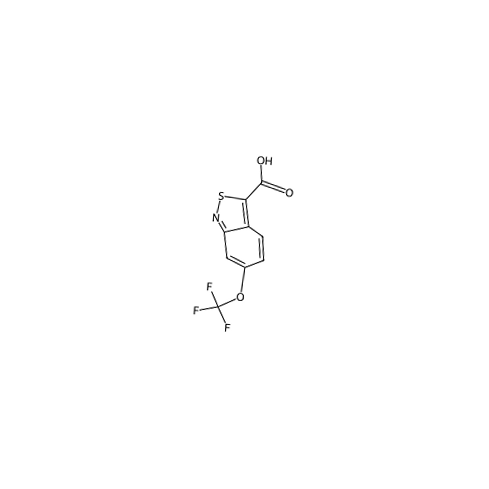 O=C(O)c1snc2cc(OC(F)(F)F)ccc12